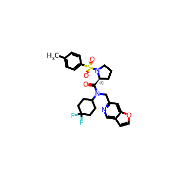 Cc1ccc(S(=O)(=O)N2CCC[C@H]2C(=O)N(Cc2cc3occc3cn2)C2CCC(F)(F)CC2)cc1